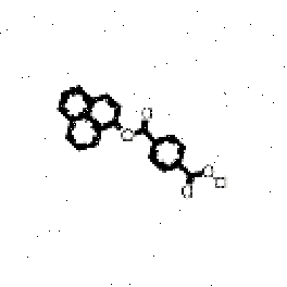 O=C(OCl)c1ccc(C(=O)OC2C=Cc3cccc4cccc2c34)cc1